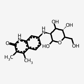 Cc1c(C)c2ccc(N[C@@H]3C(O)OC(CO)[C@@H](O)C3O)cc2[nH]c1=O